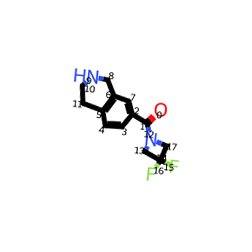 O=C(c1ccc2c(c1)CNCC2)N1CC(F)(F)C1